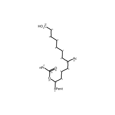 CCCCCC(CCCC(CCCCCCC(=O)O)C(C)=O)OC(=O)CCC